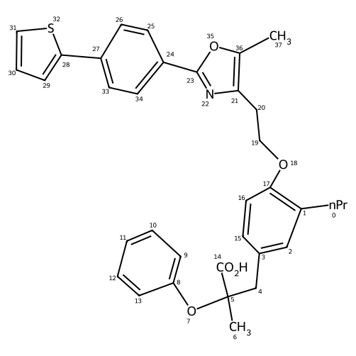 CCCc1cc(CC(C)(Oc2ccccc2)C(=O)O)ccc1OCCc1nc(-c2ccc(-c3cccs3)cc2)oc1C